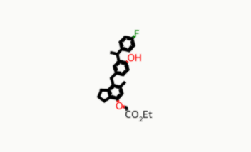 CCOC(=O)COc1cc(C)c(Cc2ccc(O)c(C(C)c3ccc(F)cc3)c2)c2c1CCC2